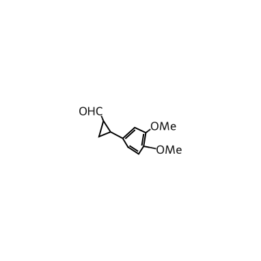 COc1ccc(C2CC2C=O)cc1OC